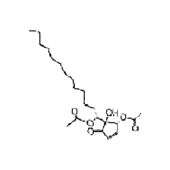 CCCCCCCCCCCC[C@@H](OC(C)=O)[C@@]1(O)C(=O)C=C[C@H]1OC(C)=O